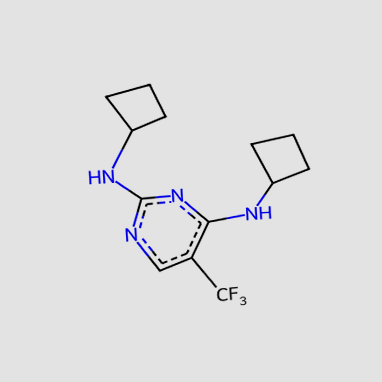 FC(F)(F)c1cnc(NC2CCC2)nc1NC1CCC1